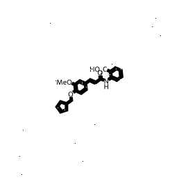 COc1cc(/C=C/C(=O)Nc2ccccc2C(=O)O)ccc1OCC1CC=CC1